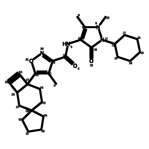 Cc1c(C(=O)Nc2c(C)n(C)n(C3CCCCC3)c2=O)noc1C12C#CC1CC1(CCCC1)CC2